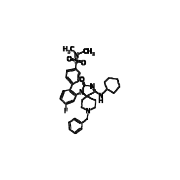 CN(C)S(=O)(=O)c1ccc(-c2ccc(F)cc2N2C(=O)N=C(NC3CCCCC3)C23CCN(Cc2ccccc2)CC3)cc1